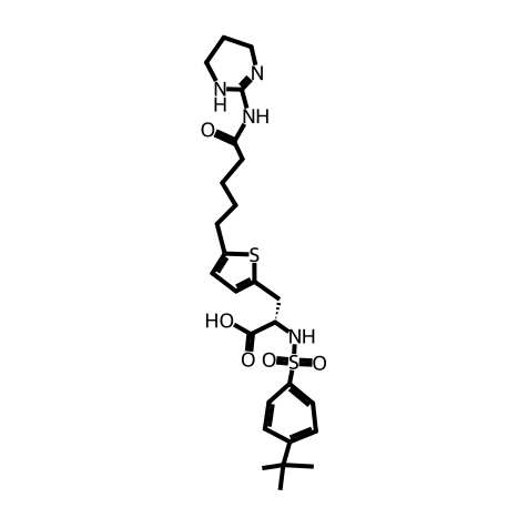 CC(C)(C)c1ccc(S(=O)(=O)N[C@@H](Cc2ccc(CCCCC(=O)NC3=NCCCN3)s2)C(=O)O)cc1